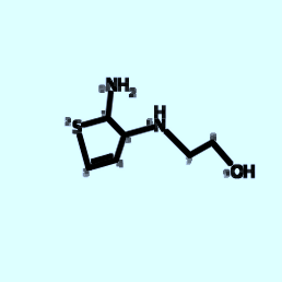 NC1SC=CC1NCCO